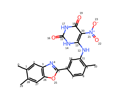 Cc1cc2nc(-c3ccc(C)c(Nc4[nH]c(=O)[nH]c(=O)c4[N+](=O)[O-])c3)oc2cc1C